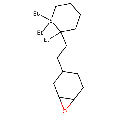 CCC1(CCC2CCC3OC3C2)CCCC[Si]1(CC)CC